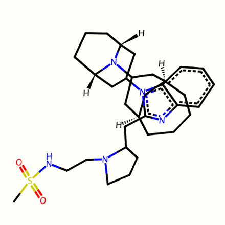 CS(=O)(=O)NCCN1CCCC1Cc1nc2ccccc2n1C1C[C@H]2CCC[C@@H](C1)N2C1C[C@H]2CCCC[C@@H](C1)C2